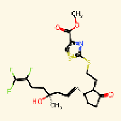 COC(=O)c1csc(SCC[C@H]2C(=O)CC[C@@H]2/C=C/C[C@@](C)(O)CCC(F)=C(F)F)n1